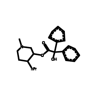 CCCC1CCN(C)CC1OC(=O)C(O)(c1ccccc1)c1ccccc1